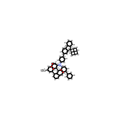 CC(C)(C)c1cc(-c2cccc3cccc(-c4ccccc4N(c4ccc(-c5ccccc5)cc4)c4ccc(-c5ccc6c(c5)C5(c7ccccc7-6)C6CC7CC8CC5C786)cc4)c23)cc(C(C)(C)C)c1